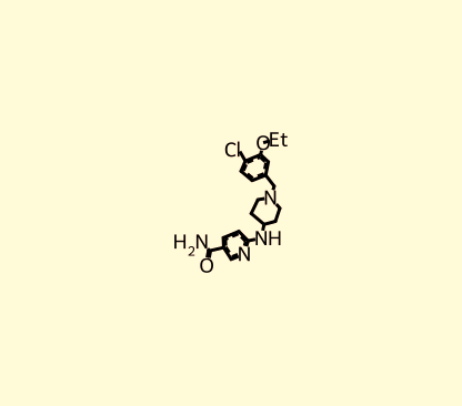 CCOc1cc(CN2CCC(Nc3ccc(C(N)=O)cn3)CC2)ccc1Cl